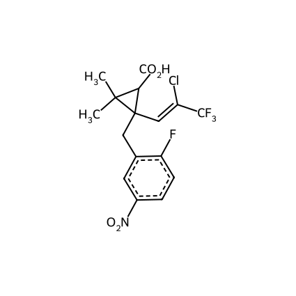 CC1(C)C(C(=O)O)C1(C=C(Cl)C(F)(F)F)Cc1cc([N+](=O)[O-])ccc1F